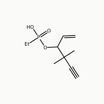 C#CC(C)(C)C(C=C)OP(=O)(O)CC